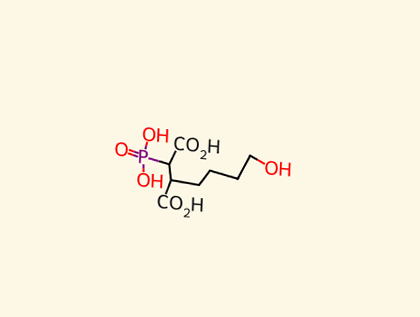 O=C(O)C(CCCCO)C(C(=O)O)P(=O)(O)O